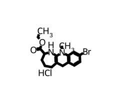 CCOC(=O)C1CCCC2=C(N1)N(C)c1cc(Br)ccc1C2.Cl